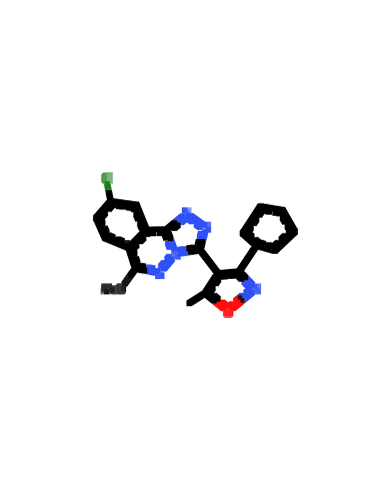 COc1nn2c(-c3c(-c4ccccc4)noc3C)nnc2c2cc(Cl)ccc12